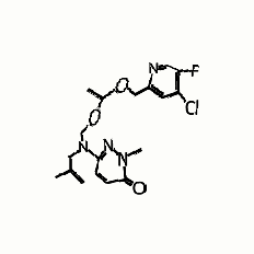 C=C(C)CN(COC(C)OCc1cc(Cl)c(F)cn1)c1ccc(=O)n(C)n1